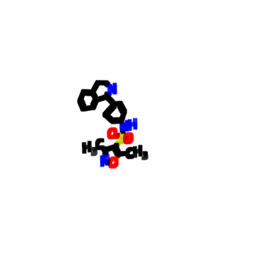 Cc1noc(C)c1S(=O)(=O)Nc1ccc(C2=NCCc3ccccc32)cc1